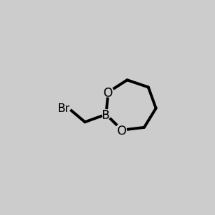 BrCB1OCCCCO1